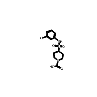 O=C(O)N1CCC(S(=O)(=O)Nc2cccc(Cl)c2)CC1